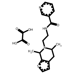 CC1Cc2ccsc2C(C)N1CCNC(=O)c1cccnc1.O=C(O)C(=O)O